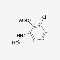 COc1c(Cl)cccc1NO